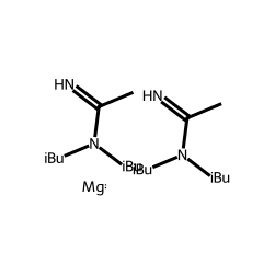 CCC(C)N(C(C)=N)C(C)CC.CCC(C)N(C(C)=N)C(C)CC.[Mg]